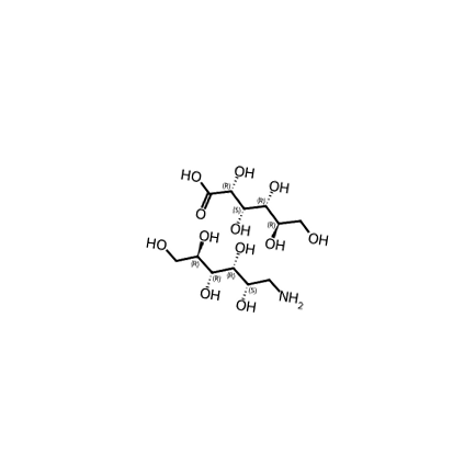 NC[C@H](O)[C@@H](O)[C@H](O)[C@H](O)CO.O=C(O)[C@H](O)[C@@H](O)[C@H](O)[C@H](O)CO